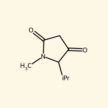 CC(C)C1C(=O)CC(=O)N1C